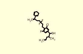 C=CCC(C)C(S)c1cc(F)c(CCC(F)(F)CCC(=C)C2=CCCC=C2)c(Cl)c1